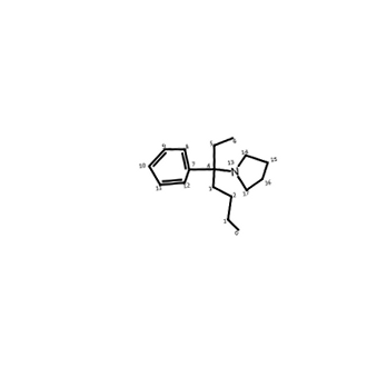 CCCCC(CC)(c1ccccc1)N1CCCC1